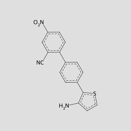 N#Cc1cc([N+](=O)[O-])ccc1-c1ccc(-c2sccc2N)cc1